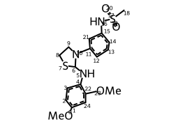 COc1ccc(NC2SCCN2c2cccc(NS(C)(=O)=O)c2)c(OC)c1